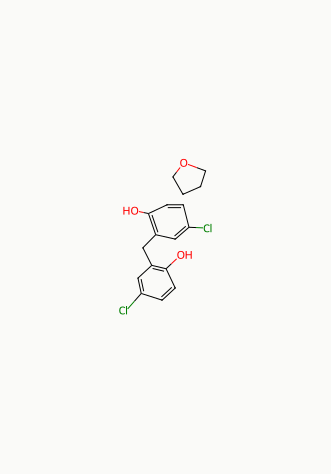 C1CCOC1.Oc1ccc(Cl)cc1Cc1cc(Cl)ccc1O